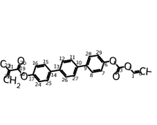 C=COC(=O)Oc1ccc(-c2ccc(-c3ccc(OC(=O)C(=C)C)cc3)cc2)cc1